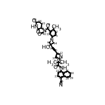 Cc1ccc(N2CC(O)(C#Cc3cnn(C(C)(C)C(=O)Nc4ccc(C#N)c5ccccc45)c3)C2)cc1C(=O)N(C=O)C1CCC(=O)NC1=O